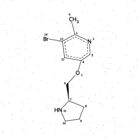 Cc1ncc(OC[C@H]2CCCN2)cc1Br